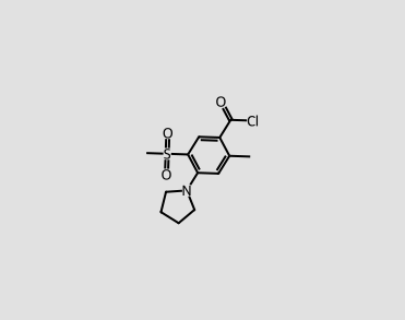 Cc1cc(N2CCCC2)c(S(C)(=O)=O)cc1C(=O)Cl